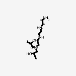 CC(O)CN(CCNCCNCCN)CC(C)O